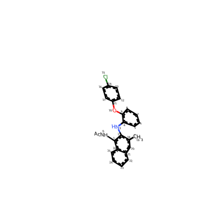 CC(=O)Nc1c(Nc2ccccc2Oc2ccc(Cl)cc2)c(C)cc2ccccc12